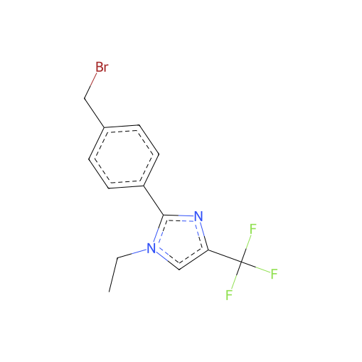 CCn1cc(C(F)(F)F)nc1-c1ccc(CBr)cc1